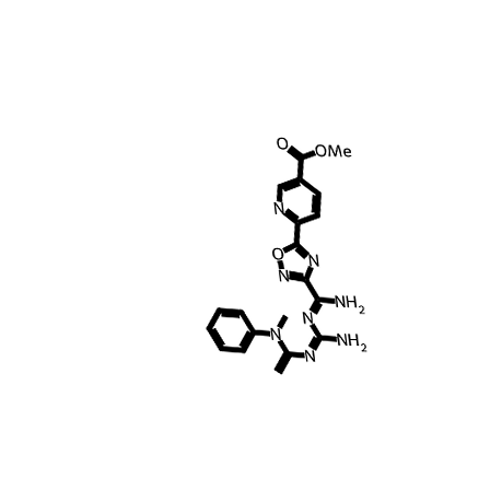 C=C(/N=C(N)\N=C(/N)c1noc(-c2ccc(C(=O)OC)cn2)n1)N(C)c1ccccc1